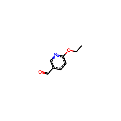 CCOc1ccc(C=O)cn1